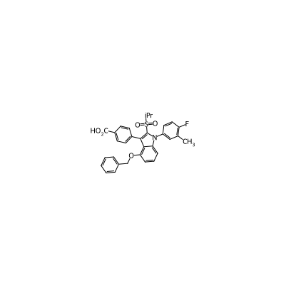 Cc1cc(-n2c(S(=O)(=O)C(C)C)c(-c3ccc(C(=O)O)cc3)c3c(OCc4ccccc4)cccc32)ccc1F